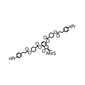 CCCc1ccc(CCC(=O)OC2CCC(C(=O)Oc3ccc(OC(=O)C4CCC(OC(=O)CCc5ccc(CCC)cc5)CC4)c4c3C/C(=C(\C)SC)C4=O)CC2)cc1